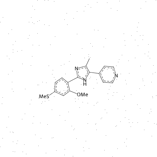 COc1cc(SC)ccc1-c1nc(C)c(-c2ccncc2)[nH]1